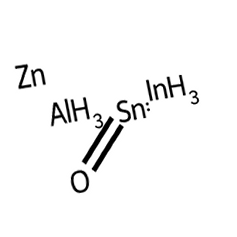 [AlH3].[InH3].[O]=[Sn].[Zn]